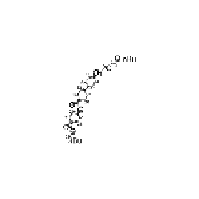 CCCCOCCOCCOc1ccc(-c2ccc(C(=O)Oc3ccc(C(=O)OCC(C)CC)cc3)cc2)cc1